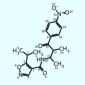 CC(C)c1oncc1C(=O)NC(C)C(C)C(=O)c1ccc([N+](=O)[O-])cc1